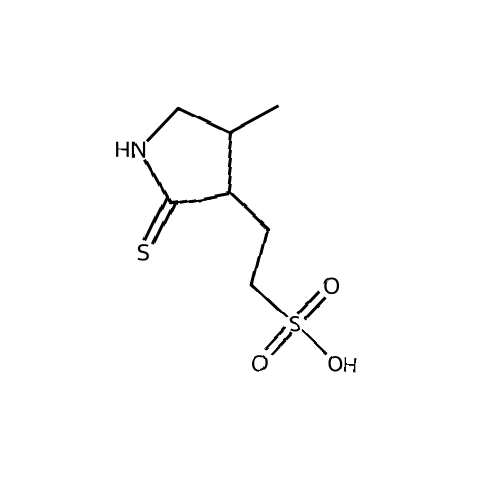 CC1CNC(=S)C1CCS(=O)(=O)O